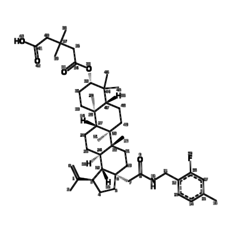 C=C(C)[C@@H]1CC[C@]2(CC(=O)NCc3ccc(C)cc3F)CC[C@]3(C)[C@H](CC[C@@H]4[C@@]5(C)CC[C@H](OC(=O)CC(C)(C)CC(=O)O)C(C)(C)[C@@H]5CC[C@]43C)[C@@H]12